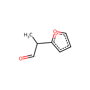 CC([C]=O)c1ccco1